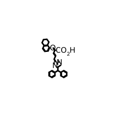 O=C(O)C(C=CCn1ncc(C(c2ccccc2)c2ccccc2)n1)Oc1cccc2c1CCCC2